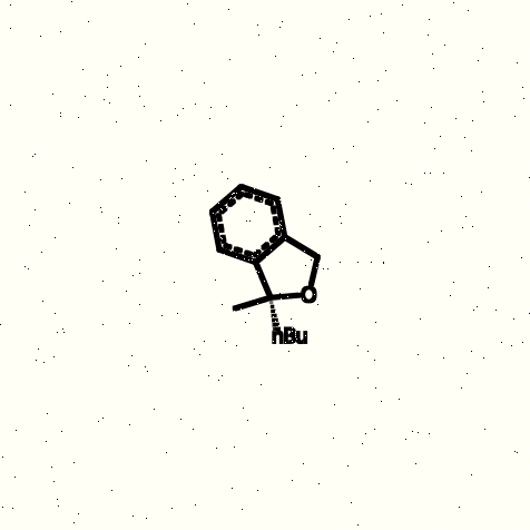 CCCC[C@@]1(C)OCc2ccccc21